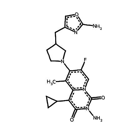 Cc1c(N2CCC(Cc3coc(N)n3)C2)c(F)cn2c(=O)n(N)c(=O)c(C3CC3)c12